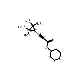 CC(C)(C)[C@]1(C(=O)O)[C@@H](C#CC(=O)OC2CCCCC2)C1(C)C